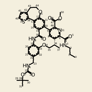 CCCNC(=O)c1ccc(-c2cc3c(cc2C(=O)Nc2ccc(CNC(=O)OC(C)(C)C)cc2OCCC)-c2sccc2CCO3)c(C(=O)OC)n1